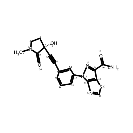 CN1CC[C@@](O)(C#Cc2cccc(-n3nc(C(N)=O)c4scnc43)c2)C1=O